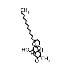 CCCCCCCCCCCC[C@@H]1CCC[C@]2(C=C(CO)[C@H]3CC(=O)C(C)=C[C@H]3O2)O1